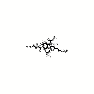 CCC[C@@H](CCCC(=O)O)C(=O)[N@+]1(O)C[C@@H](C)OC2=C1C(NC(=O)OC(C)(C)C)=CC(C)(C)[C@H]2C(=O)NCCOC